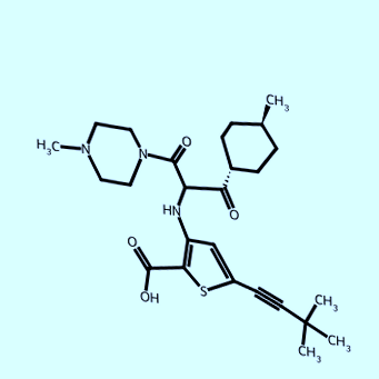 CN1CCN(C(=O)C(Nc2cc(C#CC(C)(C)C)sc2C(=O)O)C(=O)[C@H]2CC[C@H](C)CC2)CC1